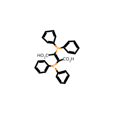 O=C(O)C(=C(C(=O)O)P(c1ccccc1)c1ccccc1)P(c1ccccc1)c1ccccc1